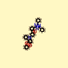 c1ccc(-c2nc(-c3ccccc3)nc(-c3cccc4c3oc3ccc(-n5c6ccccc6c6c7c(ccc65)Oc5ccccc5O7)cc34)n2)cc1